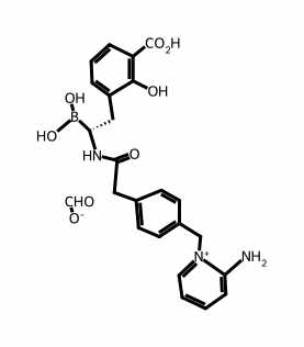 Nc1cccc[n+]1Cc1ccc(CC(=O)N[C@@H](Cc2cccc(C(=O)O)c2O)B(O)O)cc1.O=C[O-]